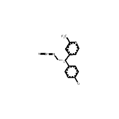 [N-]=[N+]=NC[C@@H](c1ccc(Cl)cc1)c1ccnc(C(F)(F)F)c1